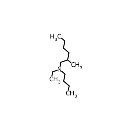 CCCCC(C)CN(CC)CCCC